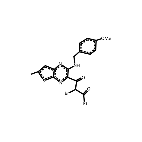 CCC(=O)C(Br)C(=O)c1nc2sc(C)cc2nc1NCc1ccc(OC)cc1